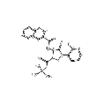 CC(C)(C)OC(=O)C1CN(c2ccccc2F)C(=O)C1NC(=O)c1ccc2ccccc2c1